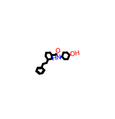 O=C(NC1CCC(O)CC1)C1CCCC(CCc2ccccc2)C1